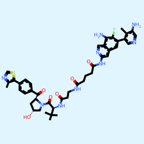 Cc1ncsc1-c1ccc(C(=O)[C@@H]2C[C@@H](O)CN2C(=O)[C@@H](NC(=O)CCNC(=O)CCCC(=O)Nc2cc3cc(-c4cncc(N)c4C)c(F)c(N)c3cn2)C(C)(C)C)cc1